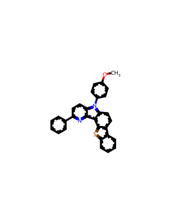 COc1ccc(-n2c3ccc(-c4ccccc4)nc3c3c4sc5ccccc5c4ccc32)cc1